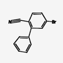 N#Cc1ccc(Br)cc1-c1ccccc1